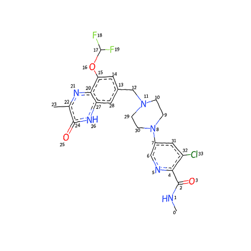 CNC(=O)c1ncc(N2CCN(Cc3cc(OC(F)F)c4nc(C)c(=O)[nH]c4c3)CC2)cc1Cl